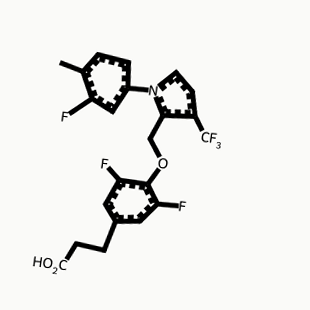 Cc1ccc(-n2ccc(C(F)(F)F)c2COc2c(F)cc(CCC(=O)O)cc2F)cc1F